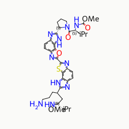 CON[C@H](CC(CCCN)c1nc2ccc3nc(-c4nc5ccc6nc([C@@H]7CCCN7C(=O)[C@@H](NC(=O)OC)C(C)C)[nH]c6c5o4)sc3c2[nH]1)C(C)C